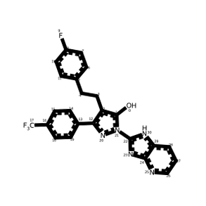 Oc1c(CCc2ccc(F)cc2)c(-c2ccc(C(F)(F)F)cc2)nn1-c1nc2ncccc2[nH]1